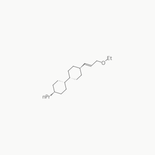 CCC[C@H]1CC[C@H]([C@H]2CC[C@H](/C=C/COCC)CC2)CC1